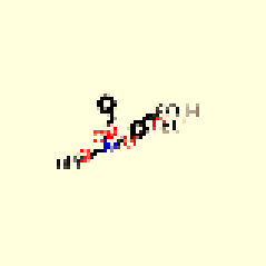 CCCOCCCN(CCOc1ccc(CC(OCC)C(=O)O)cc1)C(=O)OCCc1ccccc1